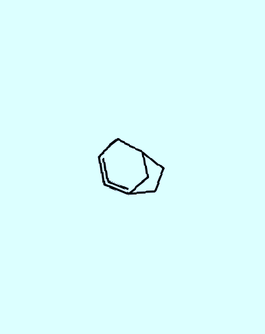 C1=CCC2CCC=1C2